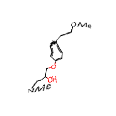 CNCC(O)COc1ccc(CCOC)cc1